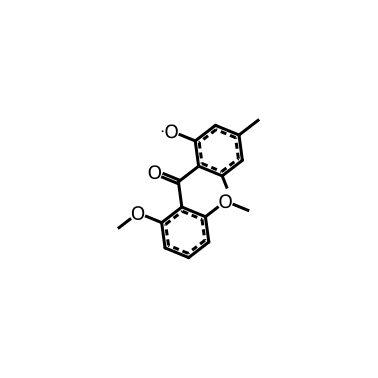 COc1cccc(OC)c1C(=O)c1c(C)cc(C)cc1[O]